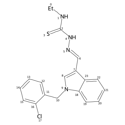 CCNC(=S)NN=Cc1cn(Cc2ccccc2Cl)c2ccccc12